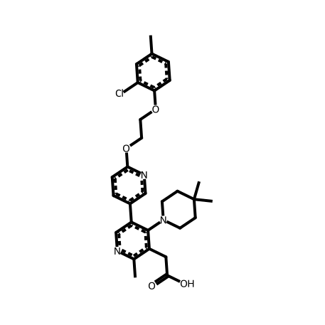 Cc1ccc(OCCOc2ccc(-c3cnc(C)c(CC(=O)O)c3N3CCC(C)(C)CC3)cn2)c(Cl)c1